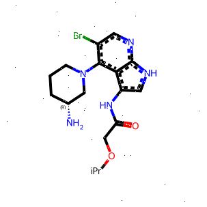 CC(C)OCC(=O)Nc1c[nH]c2ncc(Br)c(N3CCC[C@@H](N)C3)c12